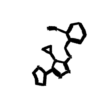 N#Cc1ccccc1CSc1nnc(-c2cccs2)n1C1CC1